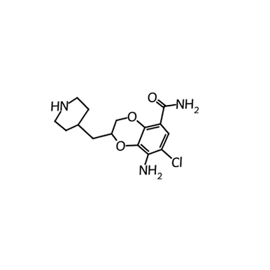 NC(=O)c1cc(Cl)c(N)c2c1OCC(CC1CCNCC1)O2